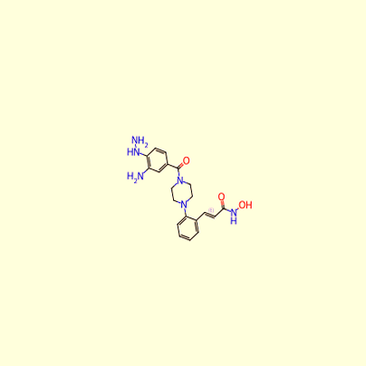 NNc1ccc(C(=O)N2CCN(c3ccccc3/C=C/C(=O)NO)CC2)cc1N